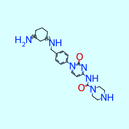 N[C@@H]1CCC[C@H](NCc2ccc(-n3ccc(NC(=O)N4CCNCC4)nc3=O)cc2)C1